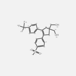 CS(=O)(=O)c1ccc(C2=C(c3ccc(C(F)(F)F)cc3)CC(CO)(CO)C2)cc1